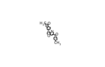 CC1CCN(C(=O)c2cnc3c(c2)OCCN3c2ccc3c(c2)CN(C)C3=O)CC1